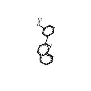 CCOc1cccc(-c2ccc3ccccc3n2)c1